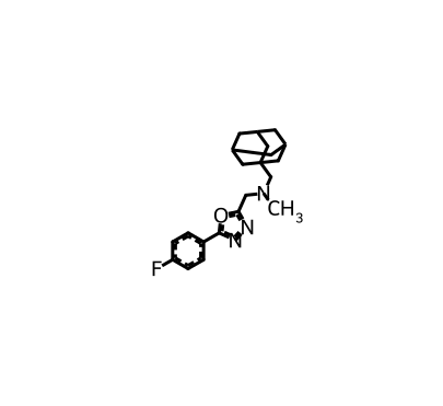 CN(Cc1nnc(-c2ccc(F)cc2)o1)CC12CC3CC(CC(C3)C1)C2